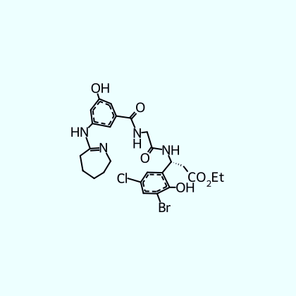 CCOC(=O)C[C@@H](NC(=O)CNC(=O)c1cc(O)cc(NC2=NCCCCC2)c1)c1cc(Cl)cc(Br)c1O